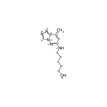 Cc1cc(NCCCCCO)nn2cnnc12